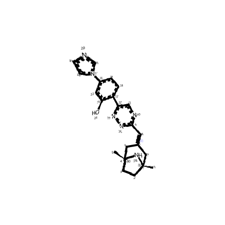 C[C@]12CC[C@](C)(C/C(=C\c3ncc(-c4ccc(-n5ccnc5)cc4O)nn3)C1)N2